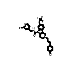 O=C(NCc1ccnc(Cl)c1)n1c2c(c3ccc(OC(F)(F)F)cc31)CN(CC=Cc1ccc(Cl)cc1)CC2